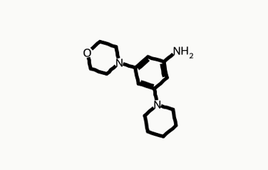 Nc1cc(N2CCCCC2)cc(N2CCOCC2)c1